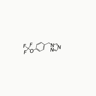 FC(F)(F)Oc1ccc(Cn2cncn2)cc1